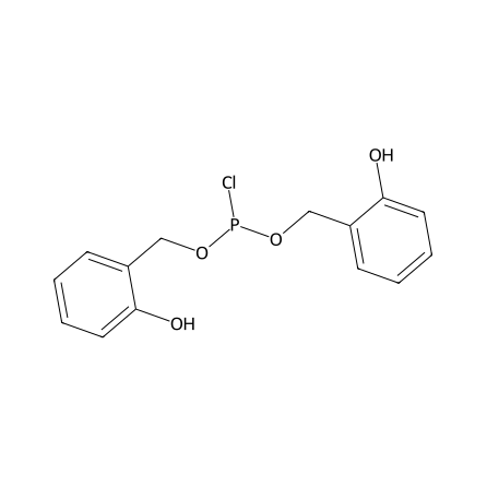 Oc1ccccc1COP(Cl)OCc1ccccc1O